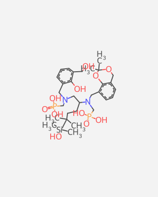 CC1(C)OCc2cccc(CN(CP(=O)(O)O)C(CCC(C)(C)[Si](C)(C)O)CN(Cc3cccc(CO)c3O)CP(=O)(O)O)c2O1